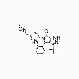 CO/N=C/c1ccc(N2C(=O)c3[nH]nc(C(C)(C)C)c3C2c2ccccc2OC)nc1